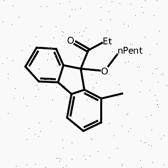 CCCCCOC1(C(=O)CC)c2ccccc2-c2cccc(C)c21